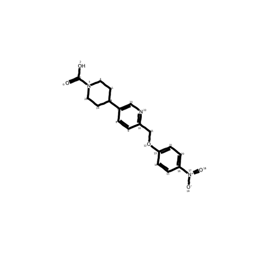 O=C(O)N1CCC(c2ccc(COc3ccc([N+](=O)[O-])cc3)nc2)CC1